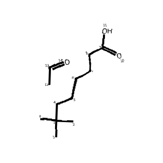 CC(C)(C)CCCCCC(=O)O.CC=O